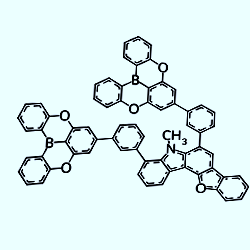 Cn1c2c(-c3cccc(-c4cc5c6c(c4)Oc4ccccc4B6c4ccccc4O5)c3)cccc2c2c3oc4ccccc4c3cc(-c3cccc(-c4cc5c6c(c4)Oc4ccccc4B6c4ccccc4O5)c3)c21